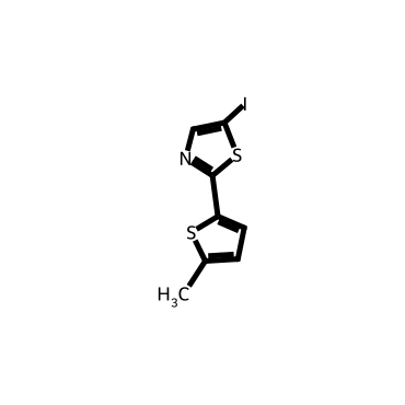 Cc1ccc(-c2ncc(I)s2)s1